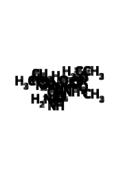 CCOc1cc(C(Nc2ccc(C(=N)N)cc2)C(=O)NNC(=O)c2ccc(N(C)C)nc2)ccc1OC(C)C